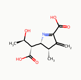 C=C1C(C(=O)O)=N[C@@H]([C@H](C(=O)O)[C@@H](C)O)[C@H]1C